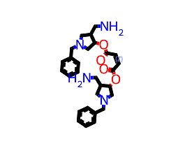 NCC1CN(Cc2ccccc2)CC1OC(=O)/C=C\C(=O)OC1CN(Cc2ccccc2)CC1CN